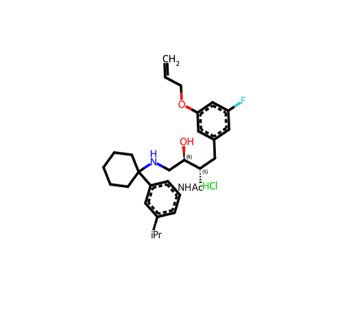 C=CCOc1cc(F)cc(C[C@H](NC(C)=O)[C@H](O)CNC2(c3cccc(C(C)C)c3)CCCCC2)c1.Cl